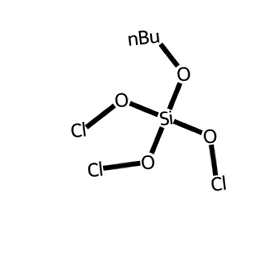 CCCCO[Si](OCl)(OCl)OCl